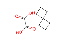 C1CC2(C1)CCC2.O=C(O)C(=O)O